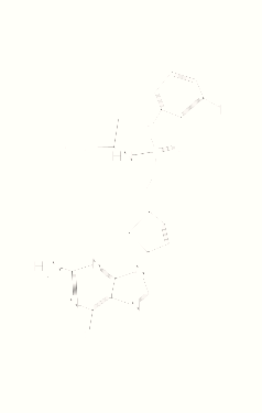 CC(NP(=O)(OC[C@@H]1C=C[C@H](n2cnc3c(Cl)nc(N)nc32)C1)Oc1cccc(F)c1)C(=O)O